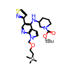 CC(C)(C)OC(=O)N1CCCC(Nc2c(-c3ccsn3)cnc3c2ccn3COCC[Si](C)(C)C)C1